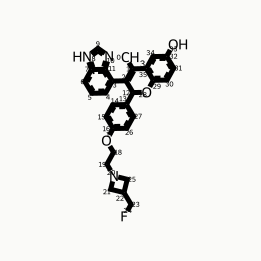 CC1=C(c2cccc3[nH]cnc23)C(c2ccc(OCCN3CC(CF)C3)cc2)Oc2ccc(O)cc21